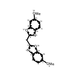 COc1ccc2nc(Cc3nc4ccc(OC)cc4o3)oc2c1